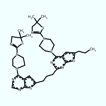 CCCc1cc2c(N3CCN(C4=NCC(C)(C)S4)CC3)nc(CCCc3cc4c(N5CCN(C6=NCC(C)(C)S6)CC5)ncnc4s3)nc2s1